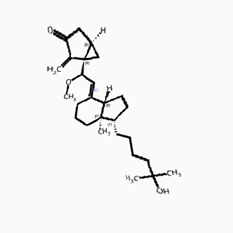 C=C1C(=O)C[C@H]2C[C@]12C(/C=C1\CCC[C@]2(C)[C@@H](CCCCC(C)(C)O)CC[C@@H]12)OC